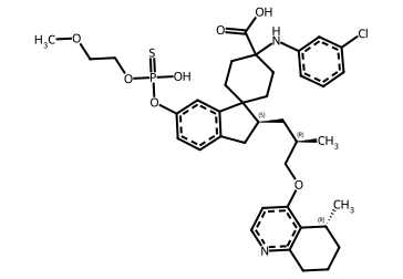 COCCOP(O)(=S)Oc1ccc2c(c1)C1(CCC(Nc3cccc(Cl)c3)(C(=O)O)CC1)[C@@H](C[C@@H](C)COc1ccnc3c1[C@H](C)CCC3)C2